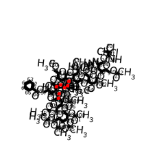 COCC1O[C@@H](O[C@@H]2C(COC(C)=O)OC(OC(=N)C(Cl)(Cl)Cl)[C@@H](N=[N+]=[N-])C2OC)C(OC)C(OC)[C@@H]1O[C@H]1OC(COC)[C@@H](O[C@@H]2OC(COC)[C@@H](O[C@@H]3OC(COC(=O)c4ccccc4)[C@@H](O[C@@H]4OC(COC(C)=O)[C@@H](O[C@H]5OC(COC(C)=O)[C@H](OC(C)=O)C(OC(C)=O)C5OC(C)=O)C(OC(C)=O)C4OC(C)=O)C(OC)[C@@H]3OC)C(OC)[C@@H]2OC)C(OC)C1OC